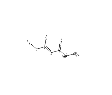 NNC(=O)C=C(I)CF